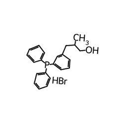 Br.CC(CO)Cc1cccc(P(c2ccccc2)c2ccccc2)c1